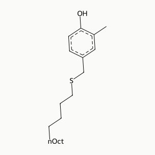 CCCCCCCCCCCCSCc1ccc(O)c(C)c1